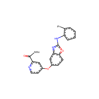 CNC(=O)c1cc(Oc2ccc3oc(Nc4ccccc4C(C)C)nc3c2)ccn1